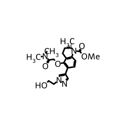 COC(=O)N1c2ccc(-c3cnn(CCO)c3)c(OCC(=O)N(C)C)c2CC[C@@H]1C